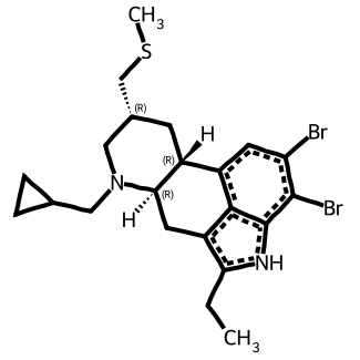 CCc1[nH]c2c(Br)c(Br)cc3c2c1C[C@@H]1[C@@H]3C[C@@H](CSC)CN1CC1CC1